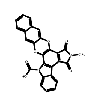 Cn1c(=O)c2c3oc4cc5ccccc5cc4oc3c3c(c4ccccc4n3C(=O)O)c2c1=O